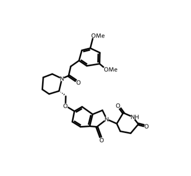 COc1cc(CC(=O)N2CCCC[C@H]2COc2ccc3c(c2)CN(C2CCC(=O)NC2=O)C3=O)cc(OC)c1